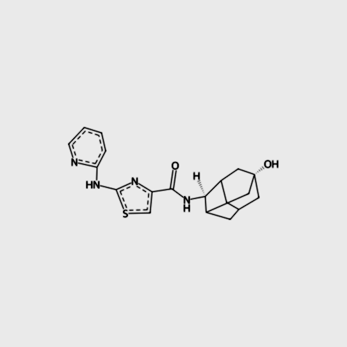 O=C(N[C@H]1C2CC3CC1C[C@](O)(C3)C2)c1csc(Nc2ccccn2)n1